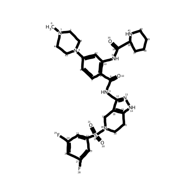 CN1CCN(c2ccc(C(=O)Nc3n[nH]c4c3CN(S(=O)(=O)c3cc(F)cc(F)c3)CC4)c(NC(=O)C3CCCCN3)c2)CC1